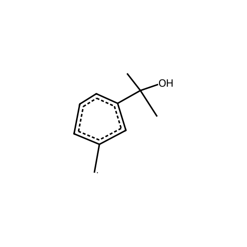 [CH2]c1cccc(C(C)(C)O)c1